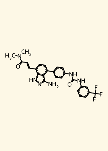 CN(C)C(=O)/C=C/c1ccc(-c2ccc(NC(=O)Nc3cccc(C(F)(F)F)c3)cc2)c2c(N)n[nH]c12